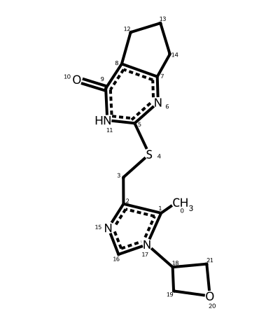 Cc1c(CSc2nc3c(c(=O)[nH]2)CCC3)ncn1C1COC1